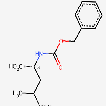 CC(C[C@@H](NC(=O)OCc1ccccc1)C(=O)O)C(=O)O